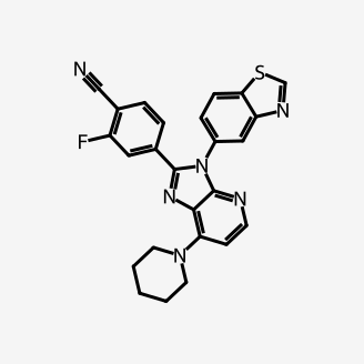 N#Cc1ccc(-c2nc3c(N4CCCCC4)ccnc3n2-c2ccc3scnc3c2)cc1F